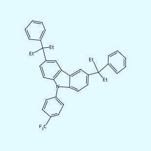 CCC(CC)(c1ccccc1)c1ccc2c(c1)c1cc(C(CC)(CC)c3ccccc3)ccc1n2-c1ccc(C(F)(F)F)cc1